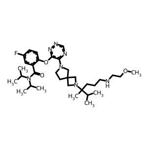 COCCNCCCC(C)(C(C)C)N1CC2(CCN(c3ncnnc3Oc3ccc(F)cc3C(=O)N(C(C)C)C(C)C)C2)C1